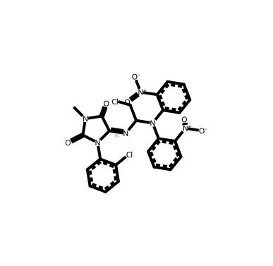 CN1C(=O)/C(=N\C(CCl)N(c2ccccc2[N+](=O)[O-])c2ccccc2[N+](=O)[O-])N(c2ccccc2Cl)C1=O